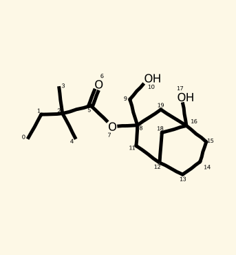 CCC(C)(C)C(=O)OC1(CO)CC2CCCC(O)(C2)C1